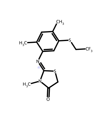 Cc1cc(C)c(SCC(F)(F)F)cc1/N=C1\SCC(=O)N1C